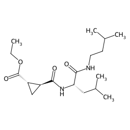 CCOC(=O)[C@H]1C[C@@H]1C(=O)N[C@@H](CC(C)C)C(=O)NCCC(C)C